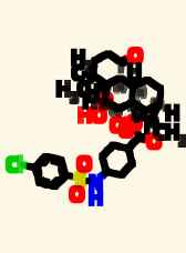 C=C1C(=O)[C@]23[C@H](OC(=O)C4CCC(NS(=O)(=O)c5ccc(Cl)cc5)CC4)[C@H]1CC[C@H]2[C@@]12CO[C@@]3(O)[C@@H](O)[C@@H]1C(C)(C)CCC2=O